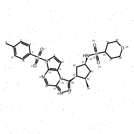 Cc1ccc(S(=O)(=O)n2ccc3c2ncc2nnc([C@H]4C[C@@H](NS(=O)(=O)C5CCOCC5)C[C@H]4C)n23)cc1